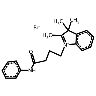 CC1=[N+](CCCC(=O)Nc2ccccc2)c2ccccc2C1(C)C.[Br-]